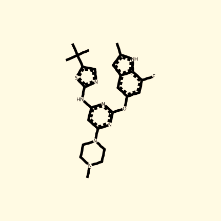 Cc1cc2cc(Oc3nc(Nc4ncc(C(C)(C)C)s4)cc(N4CCN(C)CC4)n3)cc(F)c2[nH]1